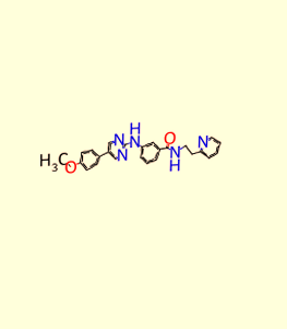 COc1ccc(-c2cnc(Nc3cccc(C(=O)NCCc4ccccn4)c3)nc2)cc1